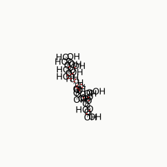 C[C@@H]1O[C@@H](O[C@@H]2C[C@H](O[C@@H]3[C@@H](O[C@H]4C[C@@H](O)CCO4)[C@@H](O)[C@H](O[C@H]4[C@H](OC(=O)[C@]56CCC(C)(C)C[C@H]5C5=CC[C@@H]7[C@@]8(C)C[C@H](O)[C@H](O[C@@H]9O[C@H](CO)[C@@H](O)[C@H](O[C@@H]%10OC[C@@H](O)[C@H](O)[C@H]%10O)[C@H]9O)[C@@](C)(CO)[C@@H]8CC[C@@]7(C)[C@]5(C)C[C@H]6O)OC[C@H](O)[C@@H]4O)O[C@H]3C)OC[C@H]2O)C[C@H](O)[C@H]1O